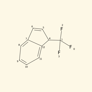 FC(F)(F)C1C=Cc2ccccc21